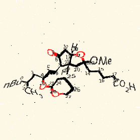 CCCC[C@H](C)C[C@@H](C=C[C@H]1C(=O)C[C@@H]2OC(CCCCC(=O)O)(OC)C[C@@H]21)OC1CCCCO1